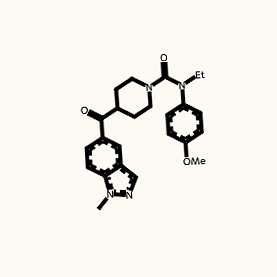 CCN(C(=O)N1CCC(C(=O)c2ccc3c(cnn3C)c2)CC1)c1ccc(OC)cc1